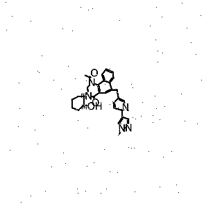 CC(=O)N1CN([C@H]2CCCC[C@@H]2O)C(=O)c2cc(Cc3ccc(-c4cnn(C)c4)nc3)c3ccccc3c21